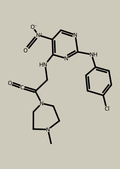 CN1CCN(C(=C=O)CNc2nc(Nc3ccc(Cl)cc3)ncc2[N+](=O)[O-])CC1